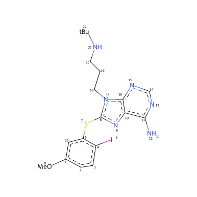 COc1ccc(I)c(Sc2nc3c(N)ncnc3n2CCCNC(C)(C)C)c1